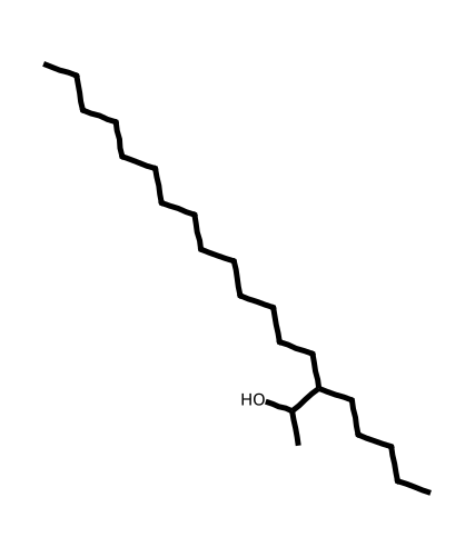 CCCCCCCCCCCCCCC(CCCCC)C(C)O